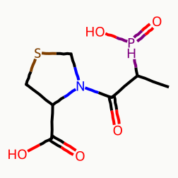 CC(C(=O)N1CSCC1C(=O)O)[PH](=O)O